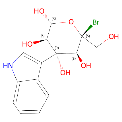 OC[C@@]1(Br)O[C@@H](O)[C@H](O)[C@](O)(c2c[nH]c3ccccc23)[C@@H]1O